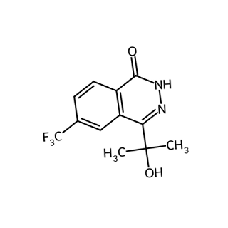 CC(C)(O)c1n[nH]c(=O)c2ccc(C(F)(F)F)cc12